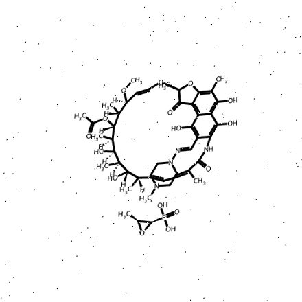 CO[C@H]1/C=C/O[C@@]2(C)Oc3c(C)c(O)c4c(O)c(c(/C=N/N5CCN(C)CC5)c(O)c4c3C2=O)NC(=O)/C(C)=C\C=C\[C@H](C)[C@H](O)[C@@H](C)[C@@H](O)[C@@H](C)[C@H](OC(C)=O)[C@@H]1C.C[C@@H]1O[C@@H]1P(=O)(O)O